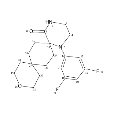 O=C1NCCN(c2cc(F)cc(F)c2)C12CCC1(CCOCC1)CC2